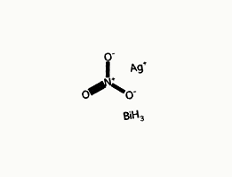 O=[N+]([O-])[O-].[Ag+].[BiH3]